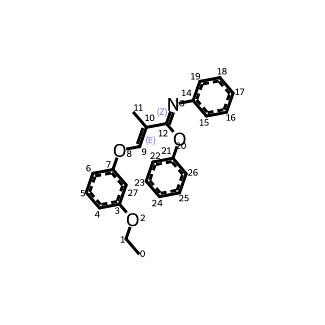 CCOc1cccc(O/C=C(C)/C(=N/c2ccccc2)Oc2ccccc2)c1